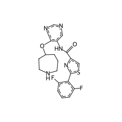 O=C(Nc1cncnc1OC1CCCNCC1)c1csc(-c2c(F)cccc2F)n1